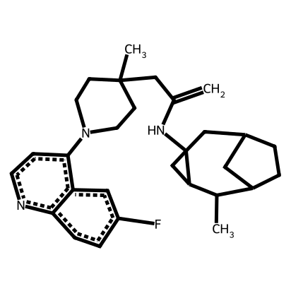 C=C(CC1(C)CCN(c2ccnc3ccc(F)cc23)CC1)NC12CC3CCC(C3)C(C)C1C2